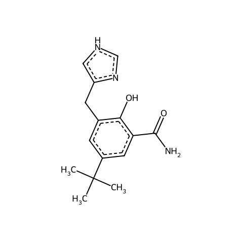 CC(C)(C)c1cc(Cc2c[nH]cn2)c(O)c(C(N)=O)c1